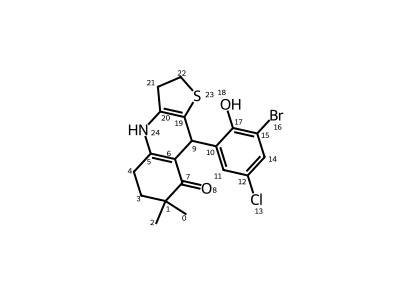 CC1(C)CCC2=C(C1=O)C(c1cc(Cl)cc(Br)c1O)C1=C(CCS1)N2